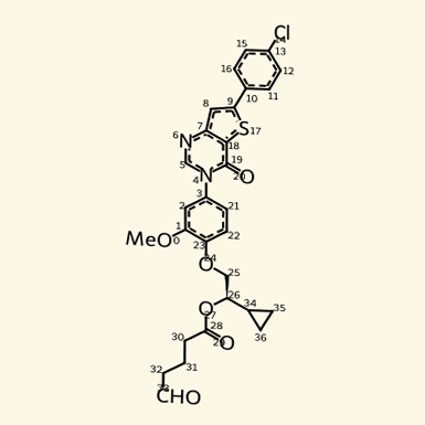 COc1cc(-n2cnc3cc(-c4ccc(Cl)cc4)sc3c2=O)ccc1OC[C@H](OC(=O)CCCC=O)C1CC1